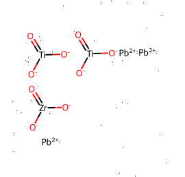 [O]=[Ti]([O-])[O-].[O]=[Ti]([O-])[O-].[O]=[Zr]([O-])[O-].[Pb+2].[Pb+2].[Pb+2]